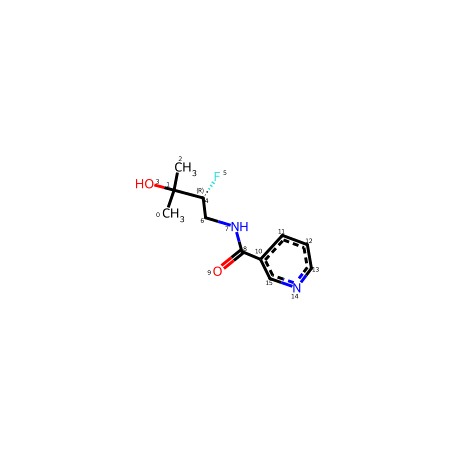 CC(C)(O)[C@H](F)CNC(=O)c1cccnc1